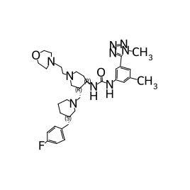 Cc1cc(NC(=O)N[C@@H]2CCN(CCN3CCOCC3)C[C@H]2CN2CCC[C@@H](Cc3ccc(F)cc3)C2)cc(-c2nnnn2C)c1